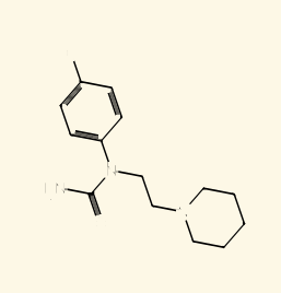 NC(=O)N(CCN1CCCCC1)c1ccc(Cl)cc1